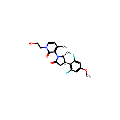 COc1cc(F)c([C@H]2CC(=O)N(c3c(C)ccn(CCO)c3=O)[C@@H]2C)c(F)c1